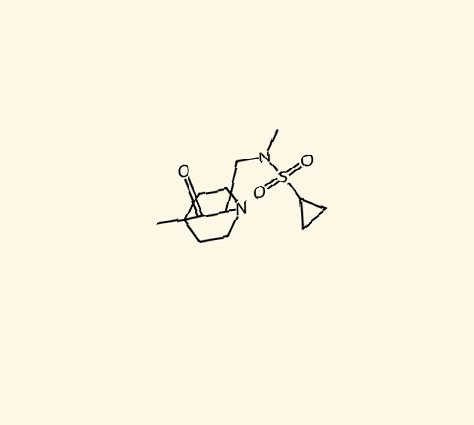 CN(CC1C(=O)C2(C)CCN1CC2)S(=O)(=O)C1CC1